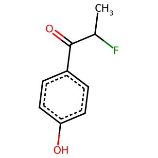 CC(F)C(=O)c1ccc(O)cc1